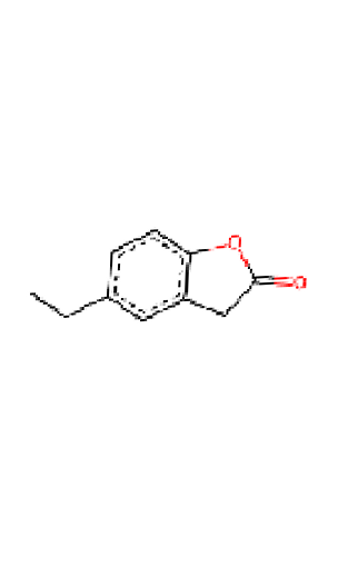 CCc1ccc2c(c1)CC(=O)O2